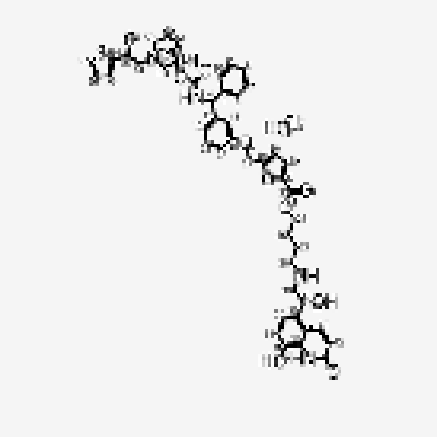 Cl.O=C(N[C@@H](c1ccccc1)c1cccc(OCc2ccc(C(=O)OCCCCNC[C@H](O)c3ccc(O)c4[nH]c(=O)ccc34)o2)c1)O[C@H]1C[N+]2(CC(=O)c3cccs3)CCC1CC2.[Cl-]